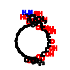 CC1OC(O[C@H]2/C=C/C=C/C=C/C=C/C=C/C=C/C=C/[C@H](C)[C@@H](O)[C@@H](C)[C@H](C)OC(=O)C[C@H](O)C[C@H](O)CC(=O)CC[C@@H](O)[C@H](O)C[C@]3(O)C[C@H](O)[C@@H](C)C(C2)O3)C(O)C(N)C1O